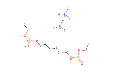 CCO[PH](=O)OCCCCCCO[PH](=O)OCC.CN(C)C.CN(C)C